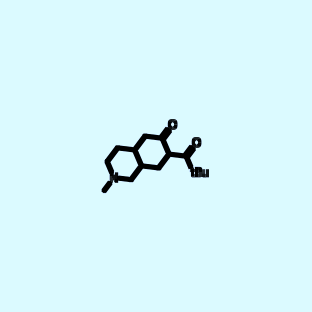 CN1CCC2CC(=O)C(C(=O)C(C)(C)C)CC2C1